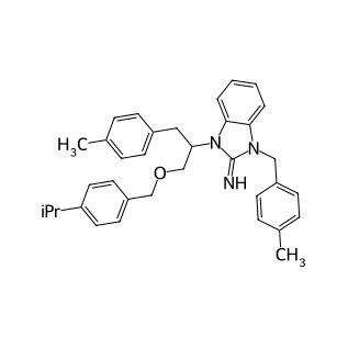 Cc1ccc(CC(COCc2ccc(C(C)C)cc2)n2c(=N)n(Cc3ccc(C)cc3)c3ccccc32)cc1